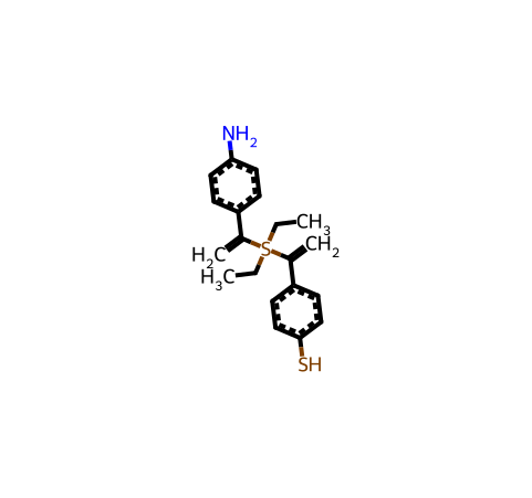 C=C(c1ccc(N)cc1)S(CC)(CC)C(=C)c1ccc(S)cc1